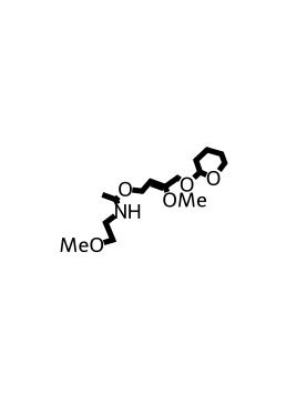 COCCNC(C)OC/C=C(/COC1CCCCO1)OC